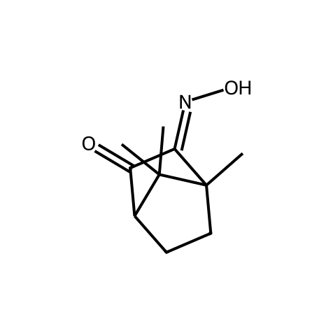 CC12CCC(C(=O)C1=NO)C2(C)C